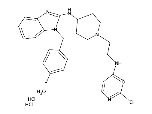 Cl.Cl.Fc1ccc(Cn2c(NC3CCN(CCNc4ccnc(Cl)n4)CC3)nc3ccccc32)cc1.O